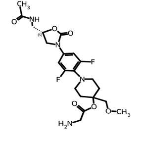 COCC1(OC(=O)CN)CCN(c2c(F)cc(N3C[C@H](CNC(C)=O)OC3=O)cc2F)CC1